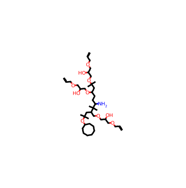 C=CCOCC(O)COCC(CC(C)(C)OC1CCCCCCC1)C(C)(C)C(N)CCC(CC(C)(C)OCC(O)COCC=C)OCC(O)COCC=C